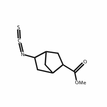 COC(=O)C1CC2CC1CC2N=C=S